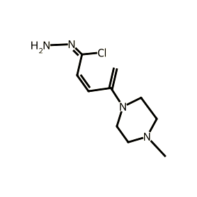 C=C(/C=C\C(Cl)=N/N)N1CCN(C)CC1